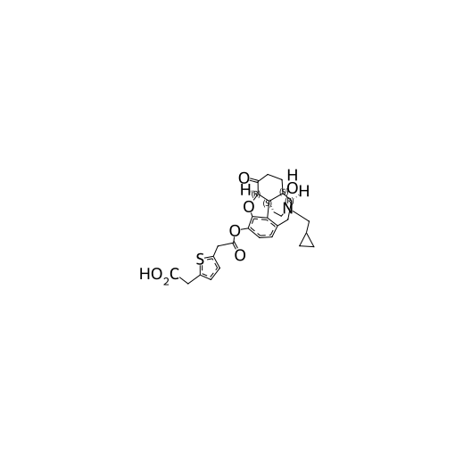 O=C(O)Cc1ccc(CC(=O)Oc2ccc3c4c2O[C@H]2C(=O)CC[C@@]5(O)[C@@H](C3)N(CC3CC3)CC[C@]425)s1